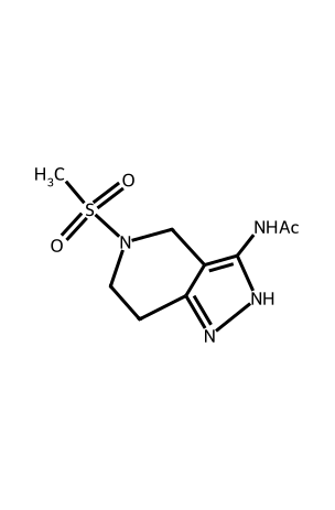 CC(=O)Nc1[nH]nc2c1CN(S(C)(=O)=O)CC2